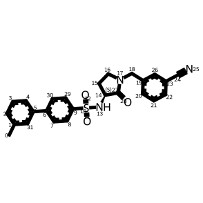 Cc1cccc(-c2ccc(S(=O)(=O)N[C@H]3CCN(Cc4cccc(C#N)c4)C3=O)cc2)c1